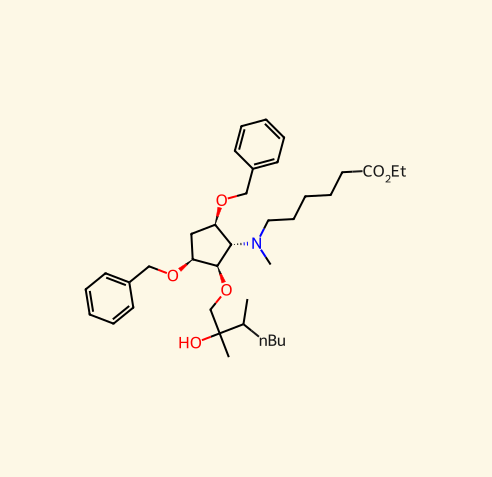 CCCCC(C)C(C)(O)CO[C@@H]1[C@@H](N(C)CCCCCC(=O)OCC)[C@H](OCc2ccccc2)C[C@@H]1OCc1ccccc1